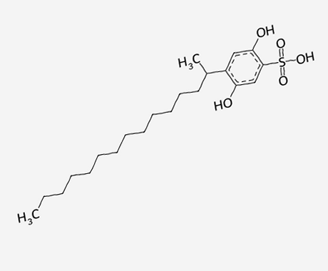 CCCCCCCCCCCCCC(C)c1cc(O)c(S(=O)(=O)O)cc1O